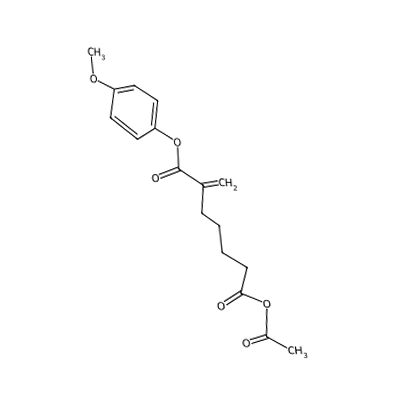 C=C(CCCCC(=O)OC(C)=O)C(=O)Oc1ccc(OC)cc1